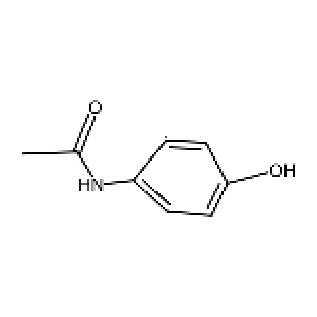 CC(=O)Nc1[c]cc(O)cc1